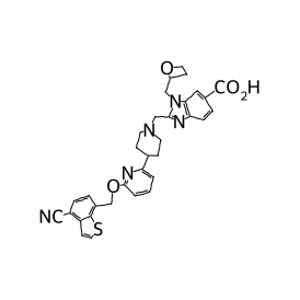 N#Cc1ccc(COc2cccc(C3CCN(Cc4nc5ccc(C(=O)O)cc5n4CC4CCO4)CC3)n2)c2sccc12